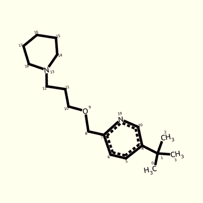 CC(C)(C)c1ccc(COCCCN2CCCCC2)nc1